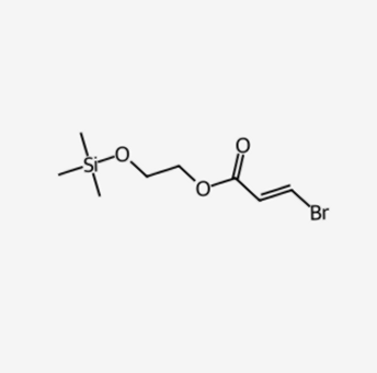 C[Si](C)(C)OCCOC(=O)C=CBr